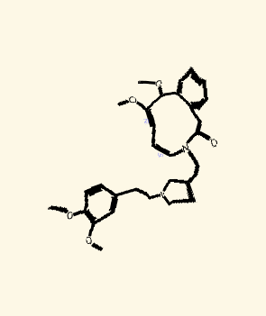 CO/C1=C\C=C/N(CC2CCN(CCc3ccc(OC)c(OC)c3)C2)C(=O)Cc2ccccc2C1OC